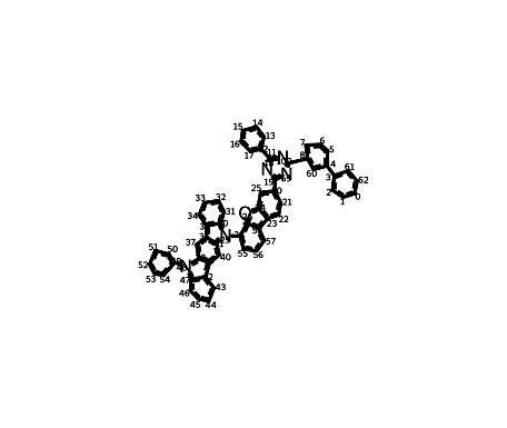 c1ccc(-c2cccc(-c3nc(-c4ccccc4)nc(-c4ccc5c(c4)oc4c(-n6c7ccccc7c7cc8c(cc76)c6ccccc6n8-c6ccccc6)cccc45)n3)c2)cc1